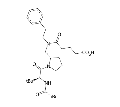 CC[C@@H](C)C(=O)N[C@H](C(=O)N1CCC[C@H]1CN(CCc1ccccc1)C(=O)CCCC(=O)O)C(C)(C)C